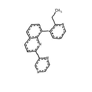 CCc1ncccc1-c1cccc2ccc(-c3cnccn3)nc12